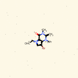 C=C1N(C)C(=O)c2c(c(Br)cn2CC=O)N1C(C)C